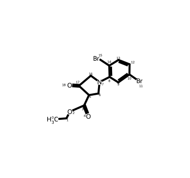 CCOC(=O)C1CN(c2cc(Br)ccc2Br)CC1=O